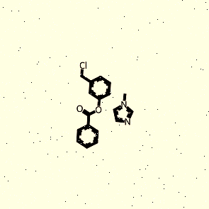 Cn1ccnc1.O=C(Oc1cccc(CCl)c1)c1ccccc1